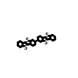 c1ccc2c(c1)sc1c3ccc(-c4ccc5c(c4)sc4c6ccccc6sc54)cc3sc21